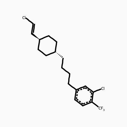 FC(F)(F)c1ccc(CCCC[C@H]2CC[C@H](/C=C/Cl)CC2)cc1Cl